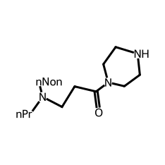 [CH2]CCN(CCCCCCCCC)CCC(=O)N1CCNCC1